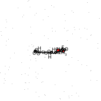 C[C@]12C[C@@H]3O[C@]45C=CC(=O)C=C4[C@@H](F)C[C@@H](C1C[C@H]1O[C@@H](c4ccc(Cc6cccc(NC(=O)CCOCCOCCCNC(=O)CCN7C(=O)C=CC7=O)c6)cc4)O[C@]12C(=O)CO)[C@]35F